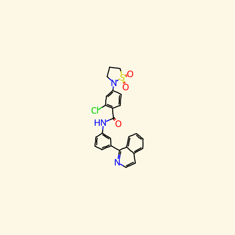 O=C(Nc1cccc(-c2nccc3ccccc23)c1)c1ccc(N2CCCS2(=O)=O)cc1Cl